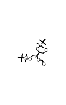 CC(C)(C)[Si](C)(C)OC[C@@H](OC=O)C(CCl)O[Si](C)(C)C(C)(C)C